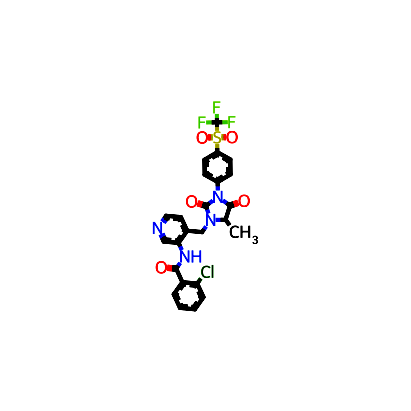 CC1C(=O)N(c2ccc(S(=O)(=O)C(F)(F)F)cc2)C(=O)N1Cc1ccncc1NC(=O)c1ccccc1Cl